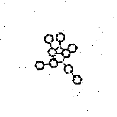 c1ccc(-c2ccc(N(c3ccc(-c4ccccc4)cc3)c3cc4ccccc4c4c3c3cccc(-c5ccccc5)c3n4-c3ccccc3)cc2)cc1